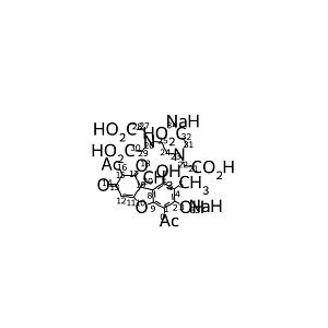 CC(=O)c1c(O)c(C)c(O)c2c1OC1=CC(=O)C(C(C)=O)C(=O)C12C.O=C(O)CN(CCN(CC(=O)O)CC(=O)O)CC(=O)O.[NaH].[NaH]